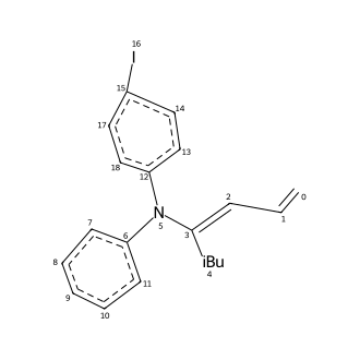 C=C/C=C(\C(C)CC)N(c1ccccc1)c1ccc(I)cc1